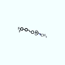 C/C=C/[C@H]1CO[C@H](C2CCC(CCc3ccc(-c4ccc(F)c(F)c4)cc3)CC2)OC1